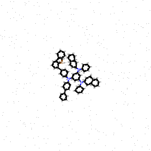 c1ccc(-c2ccc(N(c3ccc(-c4cccc5c4sc4ccccc45)cc3)c3cc(N(c4ccccc4)c4ccc5ccccc5c4)cc(N(c4ccccc4)c4ccc5ccccc5c4)c3)cc2)cc1